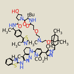 Cc1ncsc1-c1ccc(C(C)NC(=O)[C@@H]2C[C@@H](O)CN2C(=O)C(NC(=O)CCOCCN(C)CCOC23CC4(C)CC(C)(CC(Cn5ncc(-c6ccc(N7CCCc8c7nnc(Nc7nc9ccccc9s7)c8C)nc6C(=O)O)c5C)(C4)C2)C3)C(C)(C)C)cc1